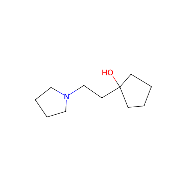 OC1(CCN2CCCC2)CCCC1